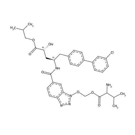 CC(C)COC(=O)[C@H](O)C[C@@H](Cc1ccc(-c2cccc(Cl)c2)cc1)NC(=O)c1ccc2nnn(OCOC(=O)C(N)C(C)C)c2c1